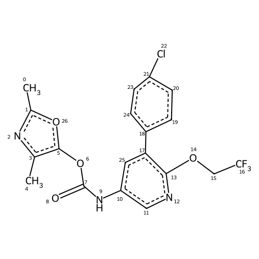 Cc1nc(C)c(OC(=O)Nc2cnc(OCC(F)(F)F)c(-c3ccc(Cl)cc3)c2)o1